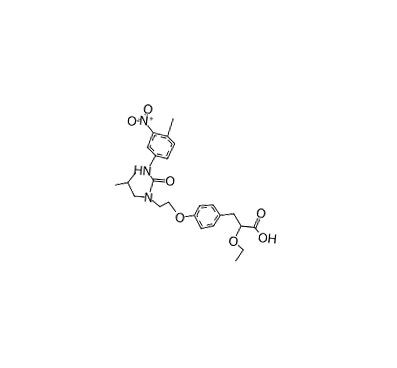 CCOC(Cc1ccc(OCCN(CC(C)C)C(=O)Nc2ccc(C)c([N+](=O)[O-])c2)cc1)C(=O)O